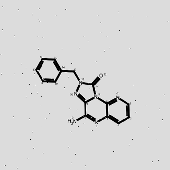 Nc1nc2cccnc2n2c(=O)n(Cc3ccccc3)nc12